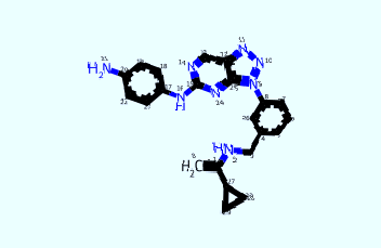 C=C(NCc1cccc(-n2nnc3cnc(Nc4ccc(N)cc4)nc32)c1)C1CC1